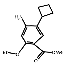 CCOc1cc(N)c(C2CCC2)cc1C(=O)OC